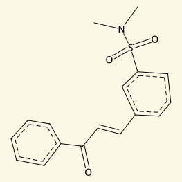 CN(C)S(=O)(=O)c1cccc(C=CC(=O)c2ccccc2)c1